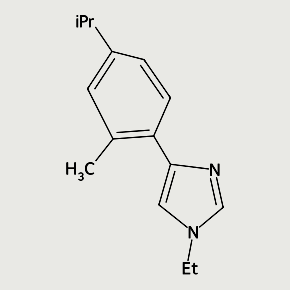 CCn1cnc(-c2ccc(C(C)C)cc2C)c1